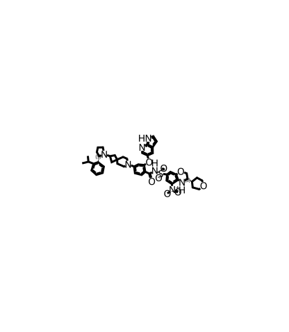 CC(C)c1ccccc1[C@@H]1CCCN1C1CC2(CCN(c3ccc(C(=O)NS(=O)(=O)c4cc5c(c([N+](=O)[O-])c4)N[C@@H](C4CCOCC4)CO5)c(Oc4cnc5[nH]ccc5c4)c3)CC2)C1